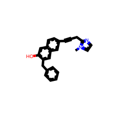 Cn1ccnc1CC#Cc1ccc2cc(O)c(Cc3ccccc3)cc2c1